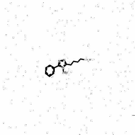 CCCCn1c(CCCCC(=O)O)nnc1-c1ccccc1